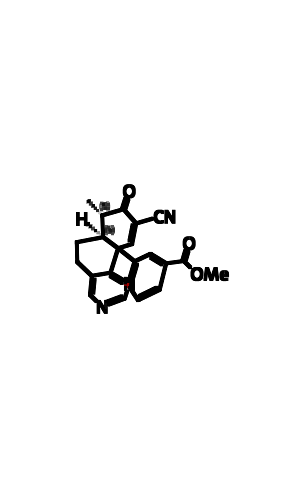 COC(=O)c1cccc(C23C=C(C#N)C(=O)[C@@H](C)[C@@H]2CCc2cncnc23)c1